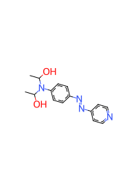 CC(O)N(c1ccc(N=Nc2ccncc2)cc1)C(C)O